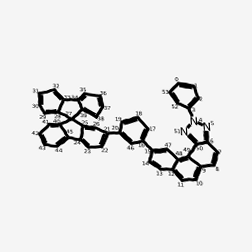 c1ccc(-n2nc3ccc4ccc5ccc(-c6cccc(-c7ccc8c(c7)C7(c9ccccc9-c9ccccc97)c7ccccc7-8)c6)cc5c4c3n2)cc1